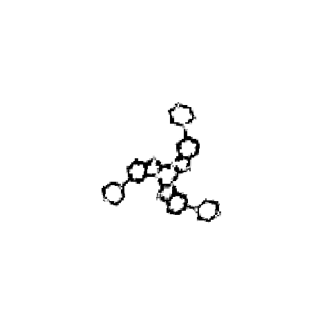 c1cc2nc3n(c2cc1N1CCOCC1)c1nc2ccc(N4CCOCC4)cc2n1c1nc2ccc(N4CCOCC4)cc2n31